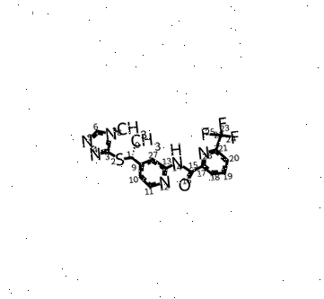 C[C@@H](Sc1nncn1C)c1ccnc(NC(=O)c2cccc(C(F)(F)F)n2)c1